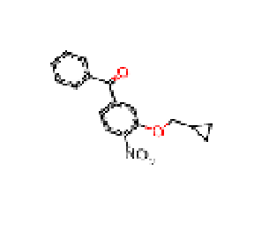 O=C(c1ccccc1)c1ccc([N+](=O)[O-])c(OCC2CC2)c1